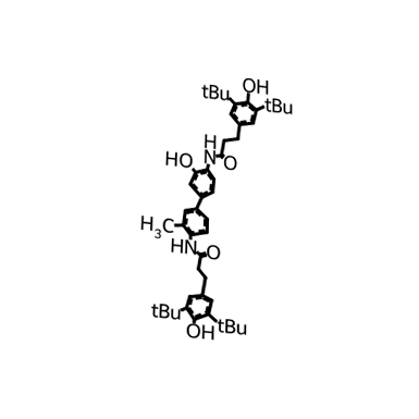 Cc1cc(-c2ccc(NC(=O)CCc3cc(C(C)(C)C)c(O)c(C(C)(C)C)c3)c(O)c2)ccc1NC(=O)CCc1cc(C(C)(C)C)c(O)c(C(C)(C)C)c1